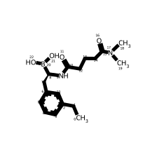 CCc1cccc(C[C@H](NC(=O)CCCC(=O)N(C)C)B(O)O)c1